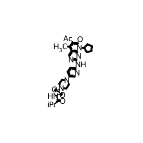 CC(=O)c1c(C)c2cnc(Nc3ccc(N4CCN(S(=O)(=O)NC(=O)C(C)C)CC4)cn3)nc2n(C2CCCC2)c1=O